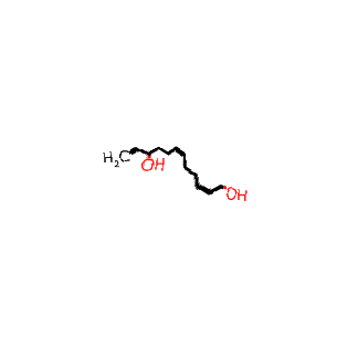 C=CC(O)CC/C=C\CC/C=C\CO